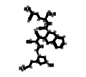 CC(C)(C)[C@H](NC[C@@H]1C[C@H](S)CN1CCN)C(=O)N1Cc2ccccc2C[C@H]1C(=O)N[C@@H](CCC(N)=O)C(=O)O